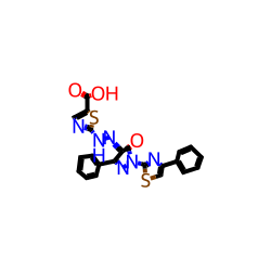 O=C(O)c1cnc(N/N=C2/C(=O)N(c3nc(-c4ccccc4)cs3)N=C2c2ccccc2)s1